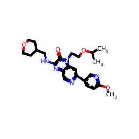 COc1ccc(-c2cc3c(cn2)nc(NCC2CCOCC2)c(=O)n3CCOC(C)C)cn1